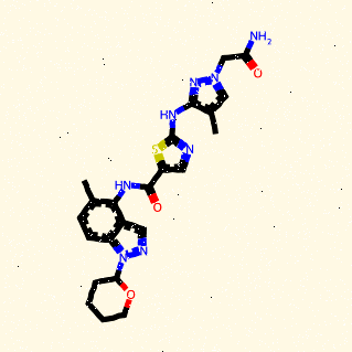 Cc1cn(CC(N)=O)nc1Nc1ncc(C(=O)Nc2c(C)ccc3c2cnn3C2CCCCO2)s1